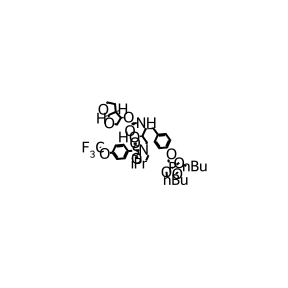 CCCCOP(=O)(COc1ccc(C[C@H](NC(=O)O[C@H]2CO[C@H]3OCC[C@H]32)[C@H](O)CN(CC(C)C)S(=O)(=O)c2ccc(OC(F)(F)F)cc2)cc1)OCCCC